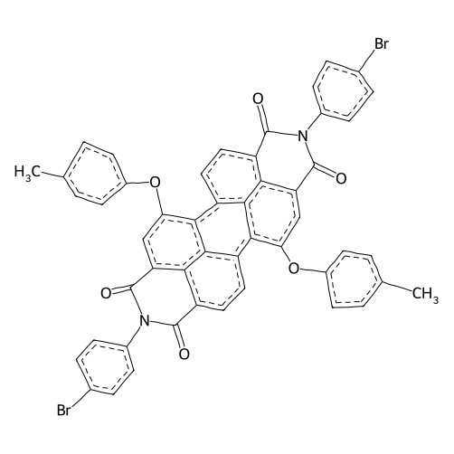 Cc1ccc(Oc2cc3c4c(ccc5c6c(Oc7ccc(C)cc7)cc7c8c(ccc(c2c45)c86)C(=O)N(c2ccc(Br)cc2)C7=O)C(=O)N(c2ccc(Br)cc2)C3=O)cc1